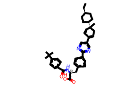 CC[C@H]1CC[C@H](C2(C)C=CC(c3cnc(-c4ccc(C[C@H](NC(=O)c5ccc(C(C)(C)C)cc5)C(=O)O)cc4)nc3)=CC2)CC1